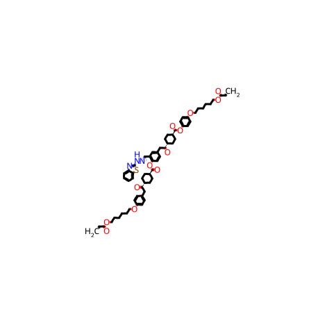 C=CC(=O)OCCCCCCOc1ccc(CC(=O)[C@H]2CC[C@H](C(=O)Oc3ccc(CC(=O)[C@H]4CC[C@H](C(=O)Oc5ccc(OCCCCCCOC(=O)C=C)cc5)CC4)cc3/C=N/Nc3nc4ccccc4s3)CC2)cc1